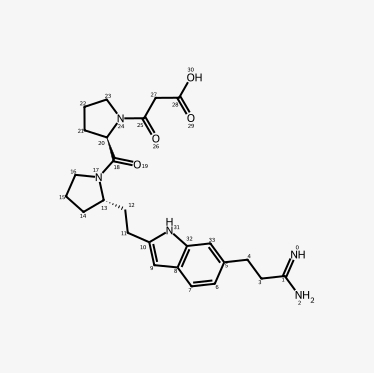 N=C(N)CCc1ccc2cc(CC[C@@H]3CCCN3C(=O)[C@H]3CCCN3C(=O)CC(=O)O)[nH]c2c1